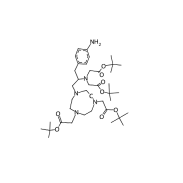 CC(C)(C)OC(=O)CN1CCN(CC(=O)OC(C)(C)C)CCN(CC(Cc2ccc(N)cc2)N(CC(=O)OC(C)(C)C)CC(=O)OC(C)(C)C)CC1